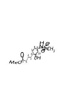 COC(=O)CCCc1ccc(NS(C)(=O)=O)cc1O